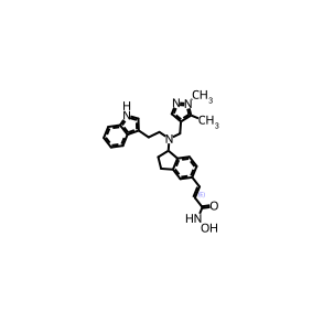 Cc1c(CN(CCc2c[nH]c3ccccc23)C2CCc3cc(/C=C/C(=O)NO)ccc32)cnn1C